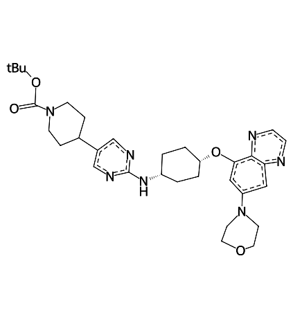 CC(C)(C)OC(=O)N1CCC(c2cnc(N[C@H]3CC[C@@H](Oc4cc(N5CCOCC5)cc5nccnc45)CC3)nc2)CC1